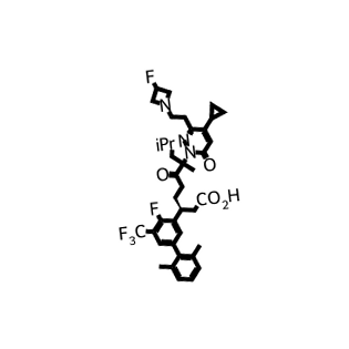 Cc1cccc(C)c1-c1cc([C@@H](CCC(=O)C(C)(CC(C)C)n2nc(CCN3CC(F)C3)c(C3CC3)cc2=O)CC(=O)O)c(F)c(C(F)(F)F)c1